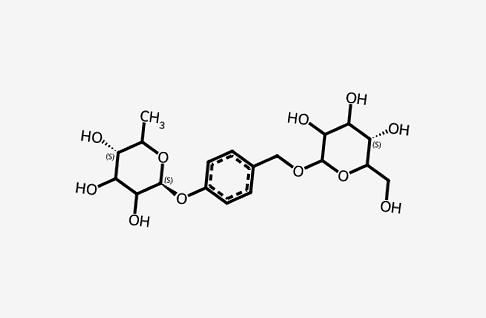 CC1O[C@@H](Oc2ccc(COC3OC(CO)[C@@H](O)C(O)C3O)cc2)C(O)C(O)[C@@H]1O